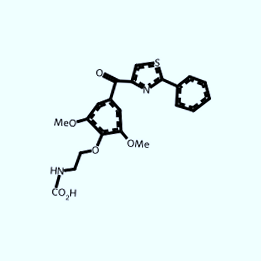 COc1cc(C(=O)c2csc(-c3ccccc3)n2)cc(OC)c1OCCNC(=O)O